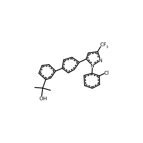 CC(C)(O)c1cccc(-c2ccc(-c3cc(C(F)(F)F)nn3-c3ccccc3Cl)cc2)c1